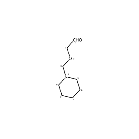 O=CCOCN1CC[CH]CC1